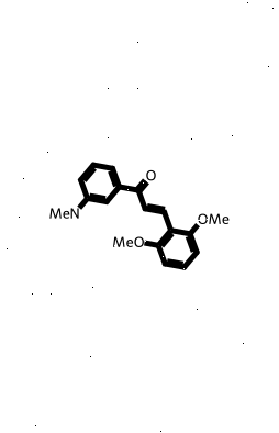 CNc1cccc(C(=O)C=Cc2c(OC)cccc2OC)c1